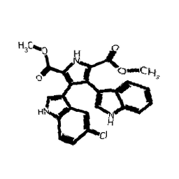 COC(=O)c1[nH]c(C(=O)OC)c(-c2c[nH]c3ccc(Cl)cc23)c1-c1c[nH]c2ccccc12